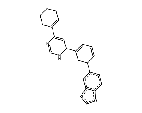 C1=CC(c2ccc3occc3c2)CC(C2C=C(C3=CCCCC3)N=CN2)=C1